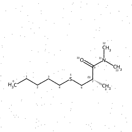 CCCCCSC[C@@H](C)C(=O)N(C)C